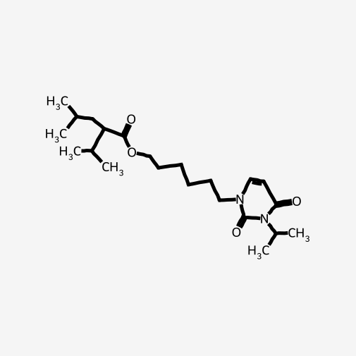 CC(C)CC(C(=O)OCCCCCCn1ccc(=O)n(C(C)C)c1=O)C(C)C